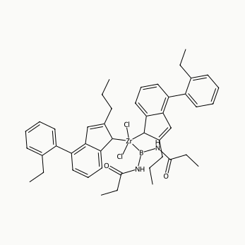 CCCC1=Cc2c(-c3ccccc3CC)cccc2[CH]1[Zr]([Cl])([Cl])([B](NC(=O)CC)NC(=O)CC)[CH]1C(CCC)=Cc2c(-c3ccccc3CC)cccc21